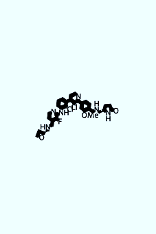 COc1cc(-c2nccc(-c3cccc(Nc4nccc(CNC[C@H]5CCO5)c4F)c3Cl)c2Cl)ccc1CNC[C@H]1CCC(=O)N1